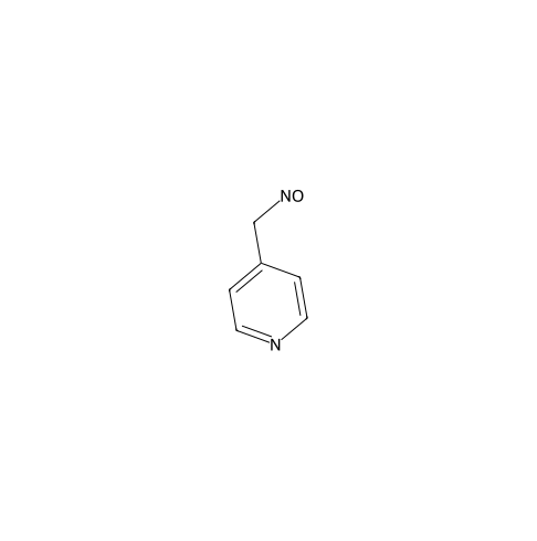 O=NCc1ccncc1